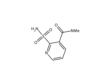 CNC(=O)c1cccnc1S(N)(=O)=O